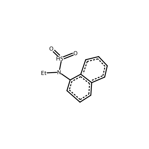 CCN(c1cccc2ccccc12)[SH](=O)=O